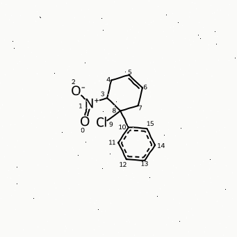 O=[N+]([O-])C1CC=CCC1(Cl)c1ccccc1